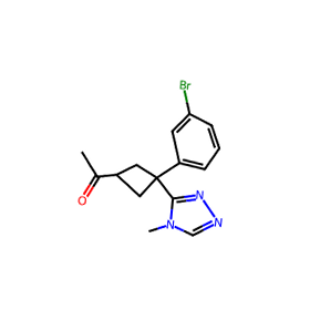 CC(=O)C1CC(c2cccc(Br)c2)(c2nncn2C)C1